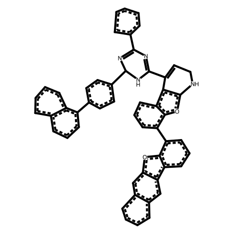 C1=C(C2=NC(c3ccccc3)=NC(c3ccc(-c4cccc5ccccc45)cc3)N2)c2c(oc3c(-c4cccc5c4oc4cc6ccccc6cc45)cccc23)NC1